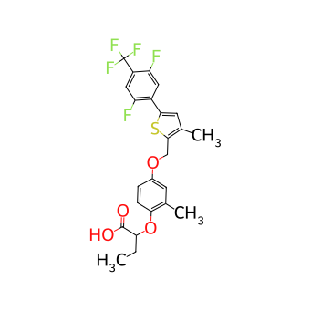 CCC(Oc1ccc(OCc2sc(-c3cc(F)c(C(F)(F)F)cc3F)cc2C)cc1C)C(=O)O